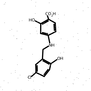 O=C(O)c1ccc(NCc2cc(Cl)ccc2O)cc1O